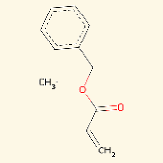 C=CC(=O)OCc1ccccc1.[CH3]